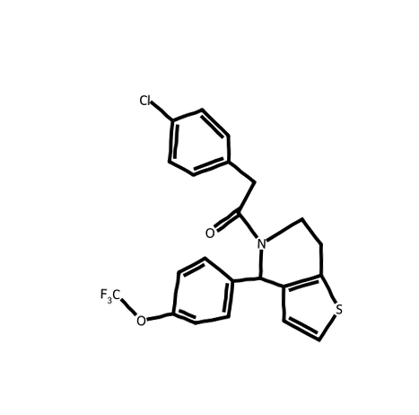 O=C(Cc1ccc(Cl)cc1)N1CCc2sccc2C1c1ccc(OC(F)(F)F)cc1